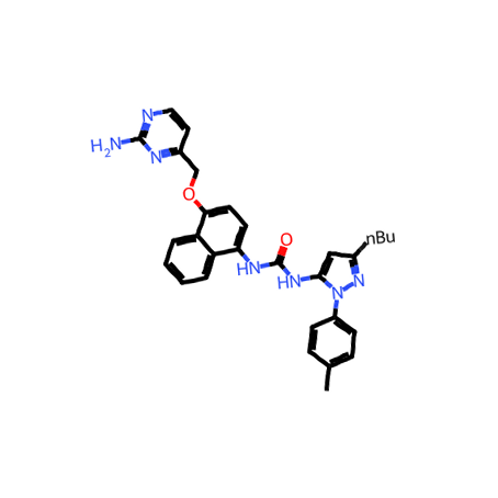 CCCCc1cc(NC(=O)Nc2ccc(OCc3ccnc(N)n3)c3ccccc23)n(-c2ccc(C)cc2)n1